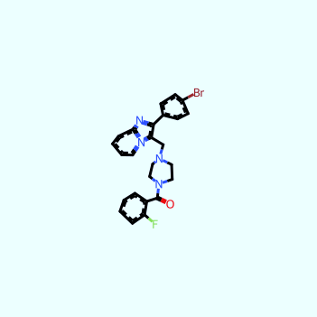 O=C(c1ccccc1F)N1CCN(Cc2c(-c3ccc(Br)cc3)nc3ccccn23)CC1